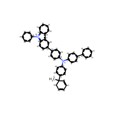 CC1(c2ccc(N(c3ccc(-c4ccccc4)cc3)c3ccc(-c4ccc5c(c4)c4ccccc4n5-c4ccccc4)cc3)cc2)C=CC=CC1